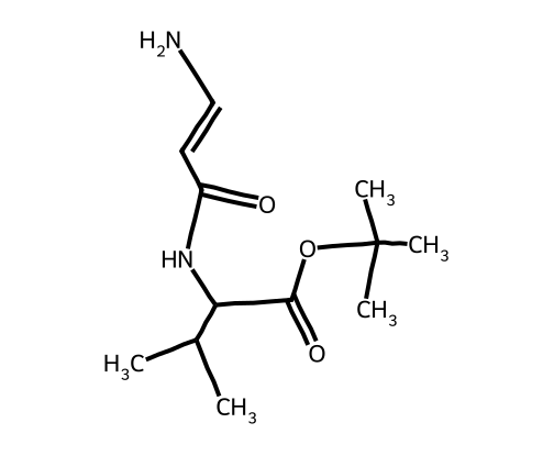 CC(C)C(NC(=O)C=CN)C(=O)OC(C)(C)C